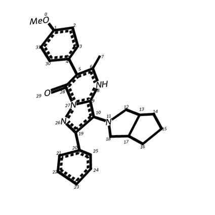 COc1ccc(-c2c(C)[nH]c3c(N4CC5CCCC5C4)c(-c4ccccc4)nn3c2=O)cc1